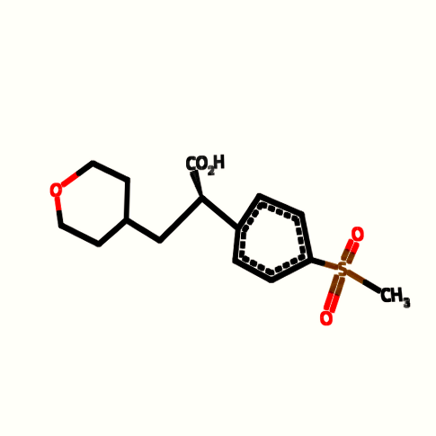 CS(=O)(=O)c1ccc([C@@H](CC2CCOCC2)C(=O)O)cc1